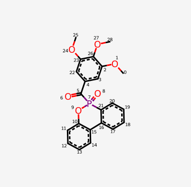 COc1cc(C(=O)P2(=O)Oc3ccccc3-c3ccccc32)cc(OC)c1OC